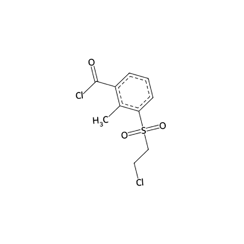 Cc1c(C(=O)Cl)cccc1S(=O)(=O)CCCl